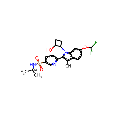 C[C@H](NS(=O)(=O)c1ccc(-c2c(C#N)c3ccc(OC(F)F)cc3n2C2CCC2O)nc1)C(F)(F)F